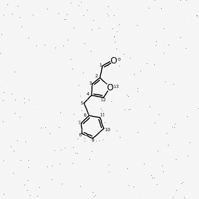 O=Cc1cc(Cc2ccccc2)co1